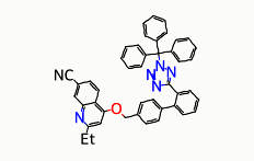 CCc1cc(OCc2ccc(-c3ccccc3-c3nnn(C(c4ccccc4)(c4ccccc4)c4ccccc4)n3)cc2)c2ccc(C#N)cc2n1